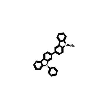 CCC(C)n1c2ccccc2c2cc(-c3ccc4c5ccccc5n(-c5ccccc5)c4c3)ccc21